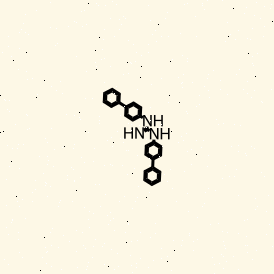 N=C(Nc1ccc(-c2ccccc2)cc1)Nc1ccc(-c2ccccc2)cc1